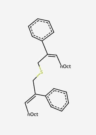 CCCCCCCCC=C(CSCC(=CCCCCCCCC)c1ccccc1)c1ccccc1